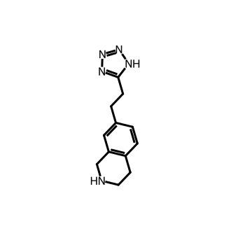 c1cc2c(cc1CCc1nnn[nH]1)CNCC2